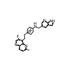 Cc1ccc2ncc(F)c(CCC34CCC(NCc5cnc6[nH]ccc6c5)(CC3)CO4)c2n1